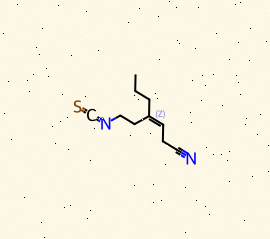 CCC/C(=C/CC#N)CCN=C=S